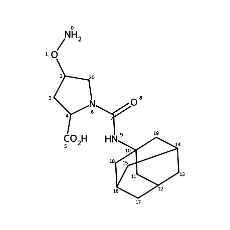 NOC1CC(C(=O)O)N(C(=O)NC23CC4CC(CC(C4)C2)C3)C1